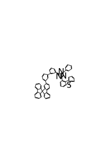 c1ccc(-c2nc(-c3cccc(-c4cccc(-c5ccc6c(c5)C5(c7ccccc7-c7ccccc75)c5ccccc5-6)c4)c3)nc(-c3cccc4sc5ccccc5c34)n2)cc1